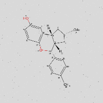 CC(=O)O[C@@H]1C[C@H]2[C@@H](C1)c1cc(O)ccc1O[C@H]2c1ccc(C)cc1